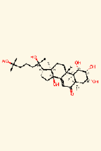 CC(C)(O)CCC[C@](C)(O)[C@H]1CC[C@@]2(O)C3=CC(=O)[C@@H]4C[C@@H](O)[C@@H](O)[C@@H](O)[C@]4(C)[C@H]3CC[C@]12C